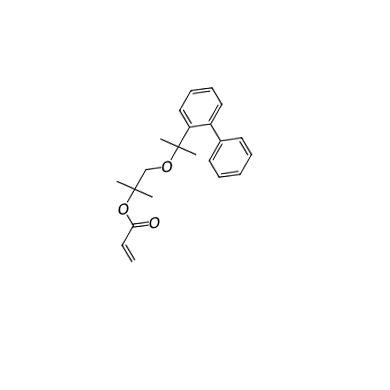 C=CC(=O)OC(C)(C)COC(C)(C)c1ccccc1-c1ccccc1